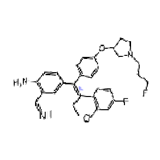 CC/C(=C(/c1ccc(OC2CCN(CCCF)C2)cc1)c1ccc(N)c(C=N)c1)c1ccc(F)cc1Cl